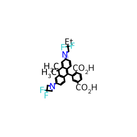 CCC(F)(F)C/N=C1\C=CC2=C(c3cc(C(=O)O)ccc3C(=O)O)c3ccc(N4CC(F)(F)C4)cc3C(C)(C)C2=C1